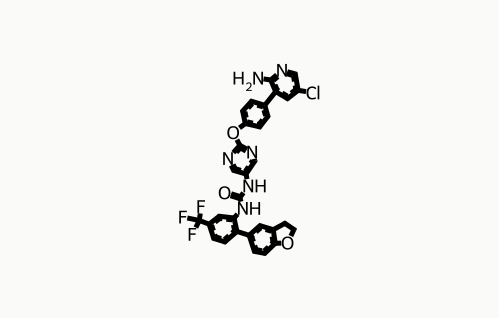 Nc1ncc(Cl)cc1-c1ccc(Oc2ncc(NC(=O)Nc3cc(C(F)(F)F)ccc3-c3ccc4c(c3)CCO4)cn2)cc1